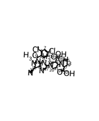 CC(c1ccc(Cl)cc1Cl)n1nc(C#N)c2ncc(N3CCC(N4CCCC4C(=O)O)C(C(C)(C)O)C3)nc21